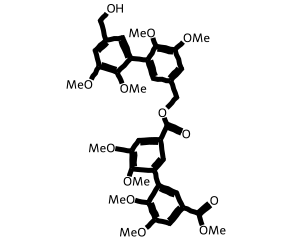 COC(=O)c1cc(OC)c(OC)c(-c2cc(C(=O)OCc3cc(OC)c(OC)c(-c4cc(CO)cc(OC)c4OC)c3)cc(OC)c2OC)c1